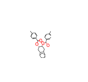 C=C(C)/C=C\C(=C/C)C(=O)OC1CC2C3CCC(C3)C2CC1OC(=O)c1ccc(C)cc1